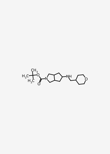 CC(C)(C)OC(=O)N1CC2CC(NCC3CCOCC3)CC2C1